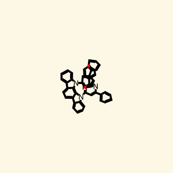 c1ccc(-c2cccc(-n3c4ccccc4c4ccc5c6ccccc6n(-c6cc(-c7ccccc7)nc(-c7ccccc7)n6)c5c43)c2)cc1